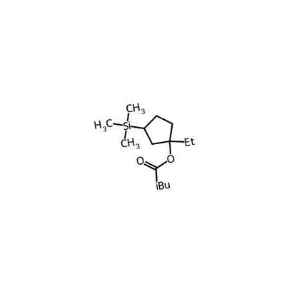 CCC(C)C(=O)OC1(CC)CCC([Si](C)(C)C)C1